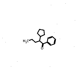 CCCC(C(=O)c1ccccc1)C1CCCC1